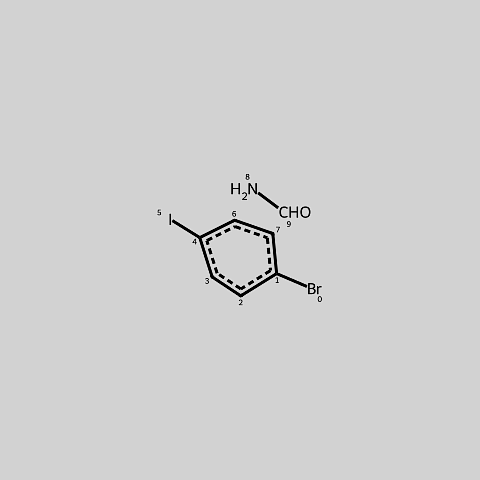 Brc1ccc(I)cc1.NC=O